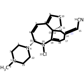 CN1CCN([C@@H]2C=CC3=CSC[C@@]34C/C(=C\C#N)CC=C4N2Cl)CC1